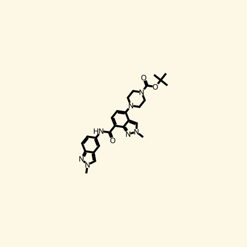 Cn1cc2cc(NC(=O)c3ccc(N4CCN(C(=O)OC(C)(C)C)CC4)c4cn(C)nc34)ccc2n1